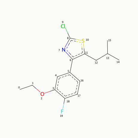 CCOc1cc(-c2nc(Cl)sc2CC(C)C)ccc1F